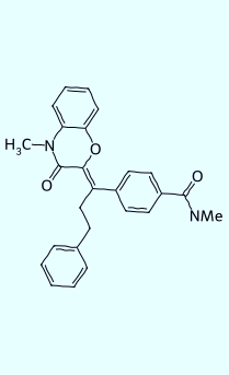 CNC(=O)c1ccc(C(CCc2ccccc2)=C2Oc3ccccc3N(C)C2=O)cc1